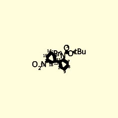 CC(C)N(C(=O)OC(C)(C)C)c1ccccc1-c1cccc([N+](=O)[O-])c1